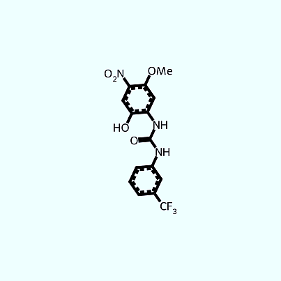 COc1cc(NC(=O)Nc2cccc(C(F)(F)F)c2)c(O)cc1[N+](=O)[O-]